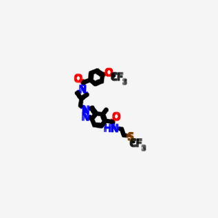 Cc1c(C(=O)NCCSC(F)(F)F)ccc2nn(CC3CN(C(=O)c4ccc(OC(F)(F)F)cc4)C3)cc12